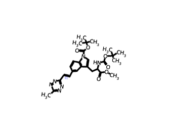 COC(=O)C(Cc1cn(C(=O)OC(C)(C)C)c2ccc(/C=C/c3nnc(C)nn3)cc12)NC(=O)OC(C)(C)C